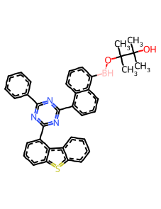 CC(C)(O)C(C)(C)OBc1cccc2c(-c3nc(-c4ccccc4)nc(-c4cccc5sc6ccccc6c45)n3)cccc12